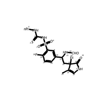 CCCNC(=S)NS(=O)(=O)c1cc(C(CC2(CC)C(=O)NC=C2C)NC=O)ccc1F